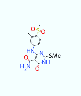 CSc1nc(Nc2ccc(S(C)(=O)=O)c(C)c2)c(C(N)=O)c(=O)[nH]1